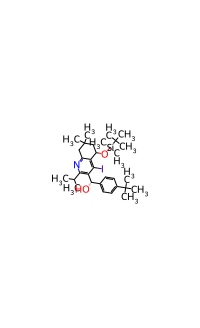 CC(C)c1nc2c(c(I)c1[C@@H](O)c1ccc(C(C)(C)C)cc1)C(O[Si](C)(C)C(C)(C)C)CC(C)(C)C2